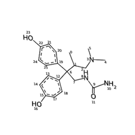 CC(CN(C)C)C(CNC(N)=O)(c1ccc(O)cc1)c1ccc(O)cc1